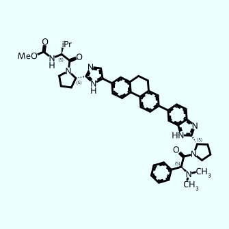 COC(=O)N[C@H](C(=O)N1CCC[C@H]1c1ncc(-c2ccc3c(c2)CCc2cc(-c4ccc5nc([C@@H]6CCCN6C(=O)[C@H](c6ccccc6)N(C)C)[nH]c5c4)ccc2-3)[nH]1)C(C)C